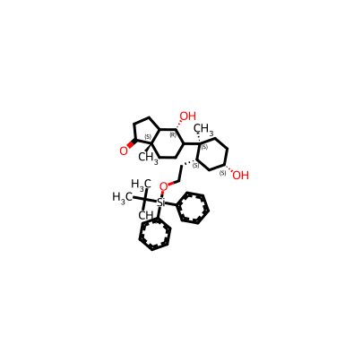 CC(C)(C)[Si](OCC[C@H]1C[C@@H](O)CC[C@]1(C)C1CC[C@]2(C)C(=O)CCC2[C@@H]1O)(c1ccccc1)c1ccccc1